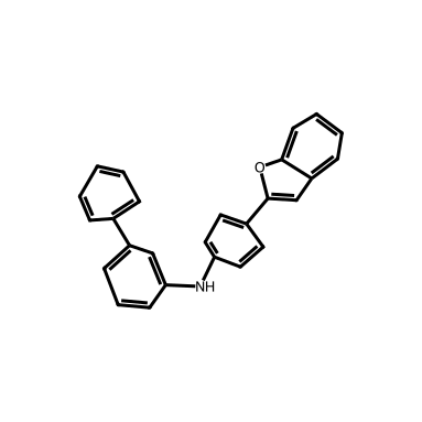 c1ccc(-c2cccc(Nc3ccc(-c4cc5ccccc5o4)cc3)c2)cc1